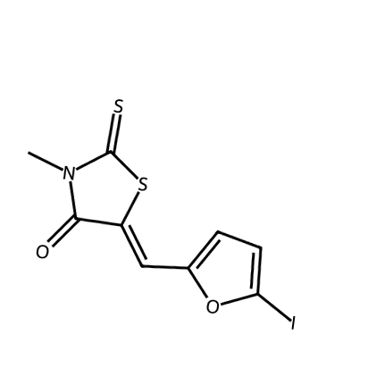 CN1C(=O)C(=Cc2ccc(I)o2)SC1=S